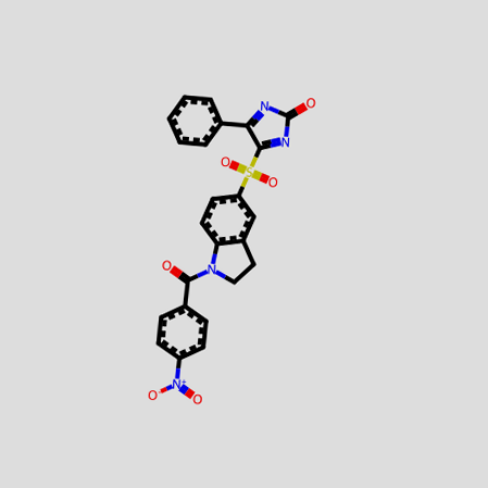 O=C1N=C(c2ccccc2)C(S(=O)(=O)c2ccc3c(c2)CCN3C(=O)c2ccc([N+](=O)[O-])cc2)=N1